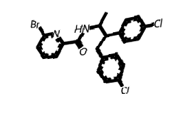 CC(NC(=O)c1cccc(Br)n1)C(Cc1ccc(Cl)cc1)c1ccc(Cl)cc1